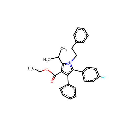 CCOC(=O)c1c(-c2ccccc2)c(-c2ccc(F)cc2)n(CCc2ccccc2)c1C(C)C